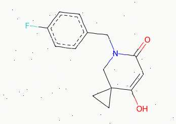 O=C1C=C(O)C2(CC2)CN1Cc1ccc(F)cc1